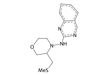 CSCC1COCCN1Nc1ncc2ccccc2n1